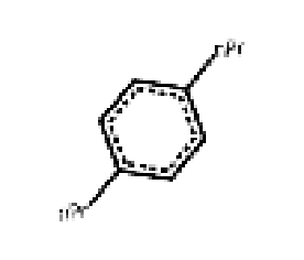 C[C]Cc1ccc(C[C]C)cc1